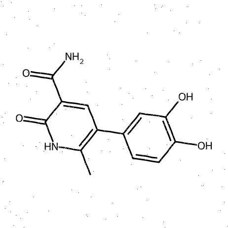 Cc1[nH]c(=O)c(C(N)=O)cc1-c1ccc(O)c(O)c1